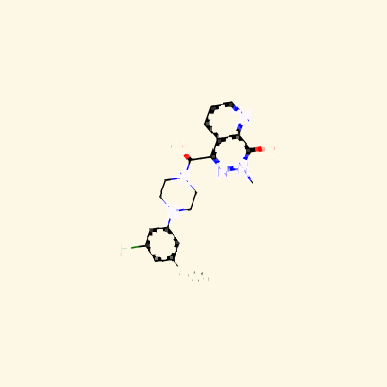 COc1cc(F)cc(N2CCN(C(=O)c3nn(C)c(=O)c4ncccc34)CC2)c1